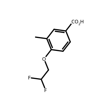 Cc1cc(C(=O)O)ccc1OCC(F)F